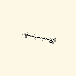 NNC(=O)CCCCCNC(=O)CCCCCNC(=O)CCCC[C@@H]1SC[C@@H]2NC(=O)N[C@@H]21